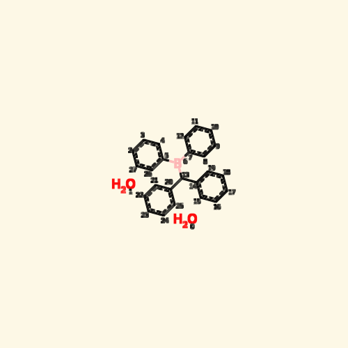 O.O.c1ccc(B(c2ccccc2)C(c2ccccc2)c2ccccc2)cc1